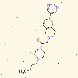 CCCCN1CCN(C(=O)CN2CCc3cc(-c4cncnc4)ccc3C2)CC1